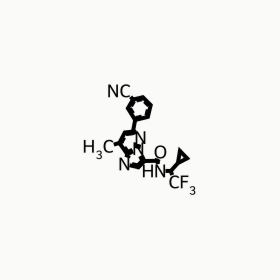 Cc1cc(-c2cccc(C#N)c2)nn2c(C(=O)NC(C3CC3)C(F)(F)F)cnc12